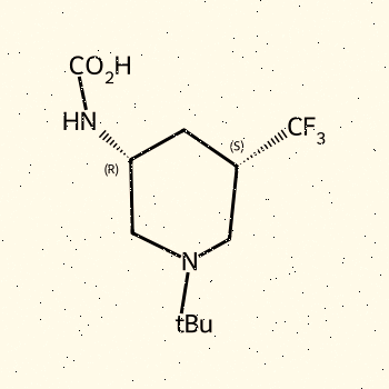 CC(C)(C)N1C[C@H](NC(=O)O)C[C@H](C(F)(F)F)C1